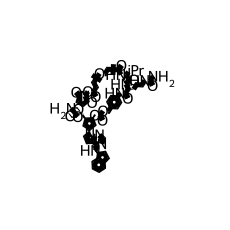 CC(C)C(NC(=O)C(C)(C)CCOC(C)(C)CCC(=O)ON1C(=O)CCC1=O)C(=O)N[C@H](CCCNC(N)=O)C(=O)Nc1ccc(COC(=O)O[C@H]2C[C@H](n3ccc4c(N[C@H]5CCc6ccccc65)ncnc43)C[C@H]2COS(N)(=O)=O)cc1